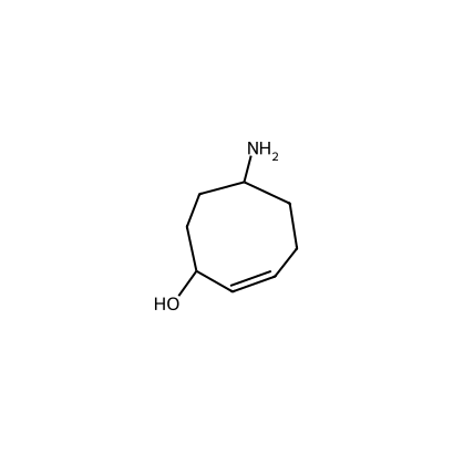 NC1CC/C=C\C(O)CC1